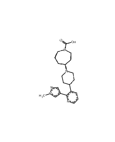 Cn1cc(-c2ncccc2C2CCN(C3CCCN(C(=O)O)CC3)CC2)cn1